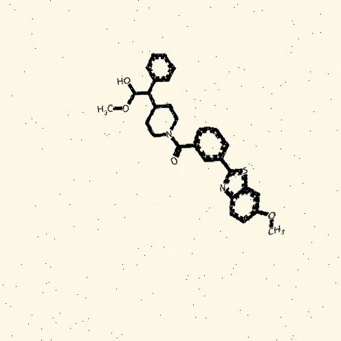 COc1ccc2nc(-c3cccc(C(=O)N4CCC(C(c5ccccc5)C(O)OC)CC4)c3)sc2c1